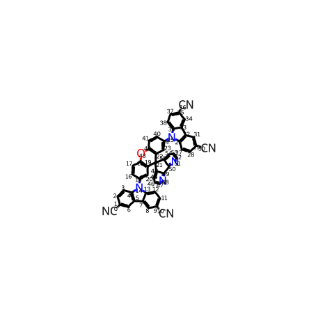 N#Cc1ccc2c(c1)c1cc(C#N)ccc1n2-c1ccc2c(c1)C1(c3cc(-n4c5ccc(C#N)cc5c5cc(C#N)ccc54)ccc3O2)c2cccnc2-c2ncccc21